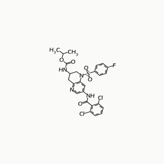 CC(C)OC(=O)NC1Cc2ncc(NC(=O)c3c(Cl)cccc3Cl)cc2N(S(=O)(=O)c2ccc(F)cc2)C1